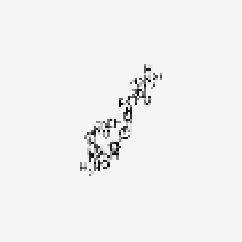 CN1CCN([C@@H]2CCCN(c3nnc(C(N)=O)c(Nc4ccc(C5CCN(C[C@@H]6CCN(c7cc8c(cc7F)C(=O)N(C7CCC(=O)NC7=O)C8=O)C6)CC5)cc4)n3)C2)C1=O